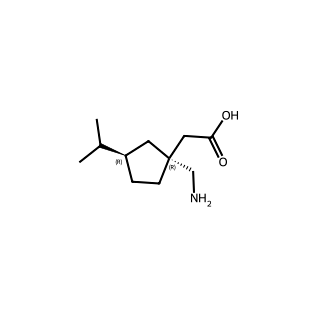 CC(C)[C@@H]1CC[C@](CN)(CC(=O)O)C1